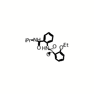 CCOc1ccccc1S(=O)(=O)Nc1ccccc1C(=O)NC(C)C